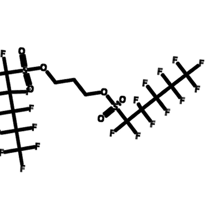 O=S(=O)(OCCCOS(=O)(=O)C(F)(F)C(F)(F)C(F)(F)C(F)(F)C(F)(F)F)C(F)(F)C(F)(F)C(F)(F)C(F)(F)C(F)(F)F